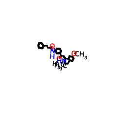 COc1ccc2c(c1)/C(=C/C(=O)c1cccc(NC(=O)CCc3ccccc3)c1)NC(C)(C)C2